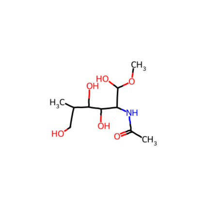 COC(O)C(NC(C)=O)C(O)C(O)C(C)CO